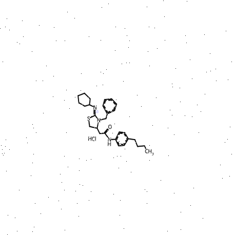 CCCCc1ccc(NC(=O)CC2CS/C(=N\C3CCCCC3)N2Cc2ccccc2)cc1.Cl